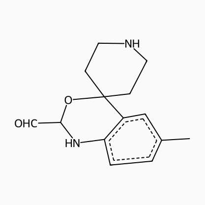 Cc1ccc2c(c1)C1(CCNCC1)OC(C=O)N2